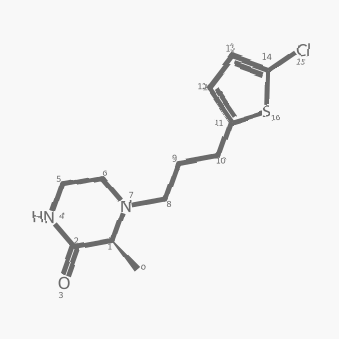 C[C@H]1C(=O)NCCN1CCCc1ccc(Cl)s1